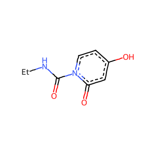 CCNC(=O)n1ccc(O)cc1=O